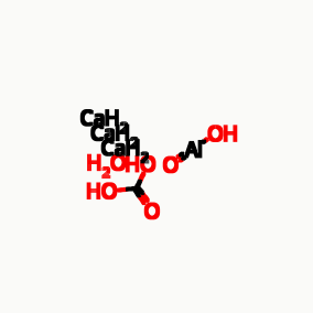 O.O=C(O)O.[CaH2].[CaH2].[CaH2].[O]=[Al][OH]